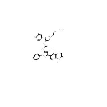 COCCN1C[C@@H](NC(=O)Nc2c(C)c(-c3cnc4c(c3)OCC(=O)N4)nn2-c2ccccc2)[C@H](c2cnc(F)c(F)c2)O1